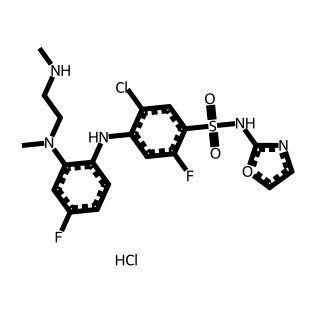 CNCCN(C)c1cc(F)ccc1Nc1cc(F)c(S(=O)(=O)Nc2ncco2)cc1Cl.Cl